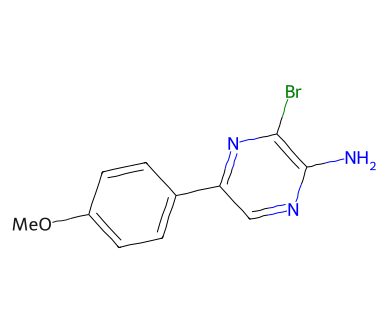 COc1ccc(-c2cnc(N)c(Br)n2)cc1